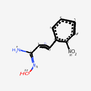 NC(/C=C/c1ccccc1[N+](=O)[O-])=NO